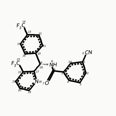 N#Cc1cccc(C(=O)N[C@@H](c2ccc(C(F)(F)F)cc2)c2ncccc2C(F)(F)F)c1